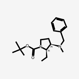 CC[C@@H]1[C@H](N(C)Cc2ccccc2)CCN1C(=O)OC(C)(C)C